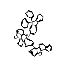 c1ccc(C2(c3ccccc3)c3ccccc3-c3ccc(N(c4ccc(-c5cccc6oc7c8ccccc8ccc7c56)cc4)c4cccc5oc6ccccc6c45)cc32)cc1